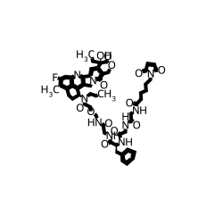 CCCN(C(=O)COCNC(=O)CNC(=O)[C@H](Cc1ccccc1)NC(=O)CNC(=O)CNC(=O)CCCCCN1C(=O)C=CC1=O)[C@H]1CCc2c(C)c(F)cc3nc4c(c1c23)Cn1c-4cc2c(c1=O)COC(=O)[C@]2(O)CC